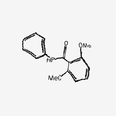 COc1cccc(OC)c1C(=O)Pc1ccccc1